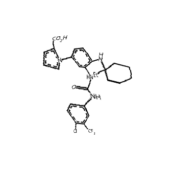 CCC1(Nc2ccc(-n3cccc3C(=O)O)cc2NC(=O)Nc2ccc(Cl)c(C(F)(F)F)c2)CCCCC1